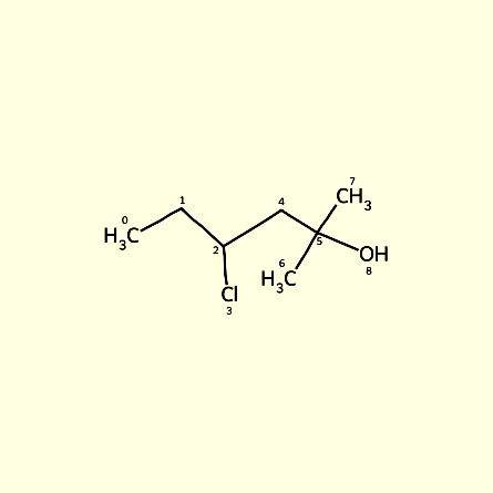 CCC(Cl)CC(C)(C)O